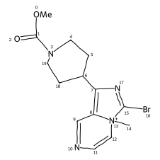 COC(=O)N1CCC(C2=C3C=NC=C[N+]3(C)C(Br)=N2)CC1